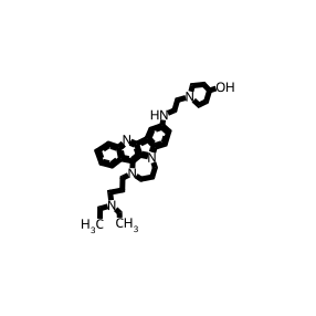 CCN(CC)CCCN1CCCn2c3ccc(NCCN4CCC(O)CC4)cc3c3nc4ccccc4c1c32